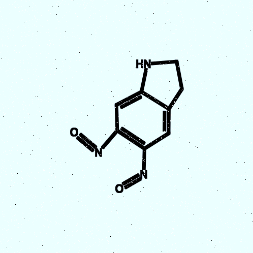 O=Nc1cc2c(cc1N=O)NCC2